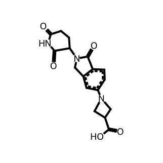 O=C1CCC(N2Cc3cc(N4CC(C(=O)O)C4)ccc3C2=O)C(=O)N1